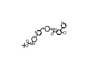 CC(C)(C)OC(=O)NC1CCN(c2ccc(CN3CCC(NC(=O)c4ccc(Cl)c(-c5cccnc5)c4)CC3)cn2)CC1